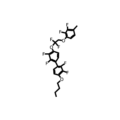 CCCCOc1ccc(-c2ccc(OC(F)(F)COc3ccc(C)c(F)c3F)c(F)c2F)c(F)c1F